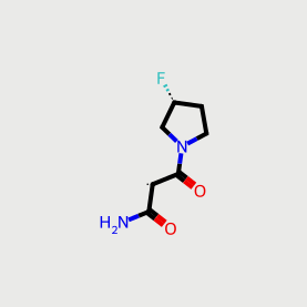 NC(=O)[CH]C(=O)N1CC[C@@H](F)C1